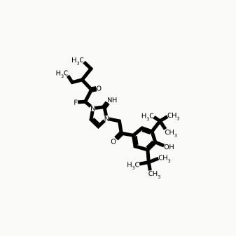 CCC(CC)C(=O)C(F)n1ccn(CC(=O)c2cc(C(C)(C)C)c(O)c(C(C)(C)C)c2)c1=N